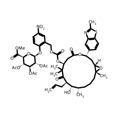 C=CC[C@H]1C(=O)C(C)(C)[C@@H](OC(=O)OCc2cc([N+](=O)[O-])ccc2O[C@@H]2O[C@H](C(=O)OC)[C@@H](OC(C)=O)[C@H](OC(C)=O)[C@H]2OC(C)=O)CC(=O)O[C@H](c2ccc3sc(C)nc3c2)C[C@@H]2O[C@]2(C)CCC[C@H](C)[C@@H]1O